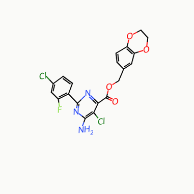 Nc1nc(-c2ccc(Cl)cc2F)nc(C(=O)OCc2ccc3c(c2)OCCO3)c1Cl